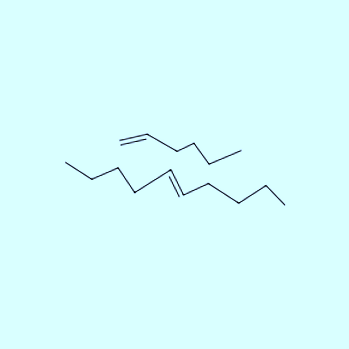 C=CCCCC.CCCC/C=C/CCCC